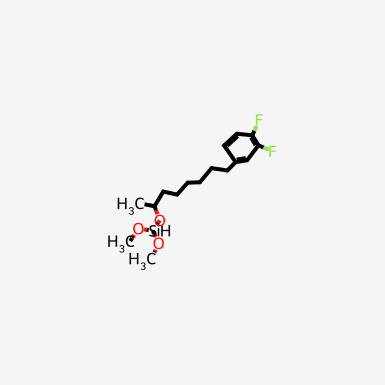 CO[SiH](OC)OC(C)CCCCCCc1ccc(F)c(F)c1